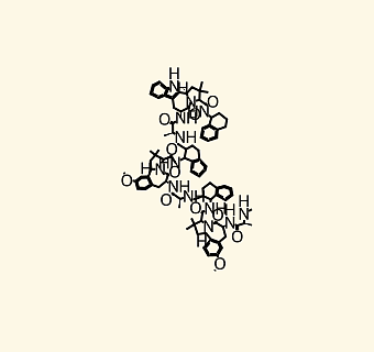 CN[C@@H](C)C(=O)N[C@H]1Cc2cc(OC)ccc2[C@H]2CC(C)(C)C(C(=O)NC3c4ccccc4CCC3CN[C@@H](C)C(=O)N[C@H]3Cc4ccc(OC)cc4[C@H]4CC(C)(C)C(C(=O)NC5c6ccccc6CCC5CN[C@@H](C)C(=O)N[C@H]5Cc6c([nH]c7ccccc67)[C@H]6CC(C)(C)C(C(=O)NC7CCCc8ccccc87)N6C5=O)N4C3=O)N2C1=O